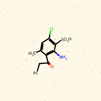 CC(=O)CC(=O)c1c(C)cc(Cl)c(S(=O)(=O)O)c1N